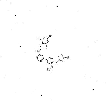 CCOc1cc(-c2cc(NCCc3c(F)cc(Br)cc3F)ncn2)ccc1Cc1noc(S)n1